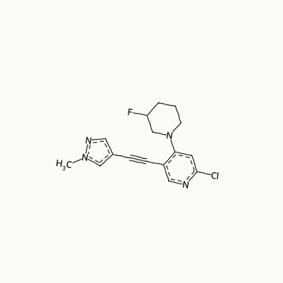 Cn1cc(C#Cc2cnc(Cl)cc2N2CCCC(F)C2)cn1